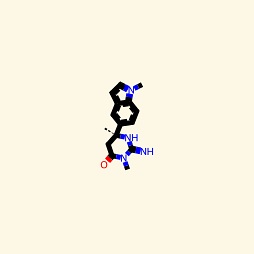 CN1C(=N)N[C@](C)(c2ccc3c(ccn3C)c2)CC1=O